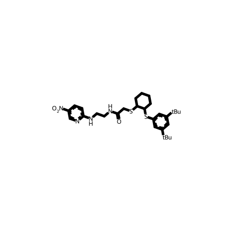 CC(C)(C)c1cc(SC2CCCCC2SCC(=O)NCCNc2ccc([N+](=O)[O-])cn2)cc(C(C)(C)C)c1